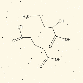 CCCC(O)C(=O)O.O=C(O)CCCC(=O)O